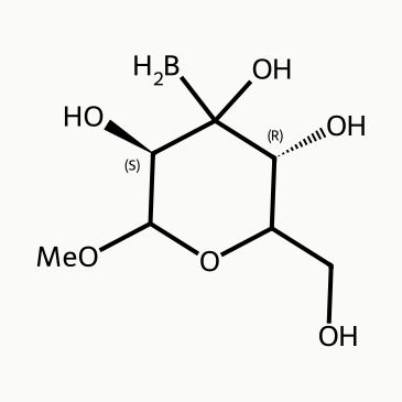 BC1(O)[C@H](O)C(CO)OC(OC)[C@H]1O